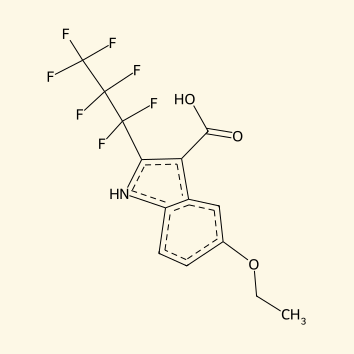 CCOc1ccc2[nH]c(C(F)(F)C(F)(F)C(F)(F)F)c(C(=O)O)c2c1